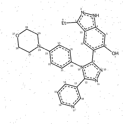 CCc1n[nH]c2cc(O)c(-c3nnc(-c4cccnc4)n3-c3ccc(N4CCOCC4)cc3)cc12